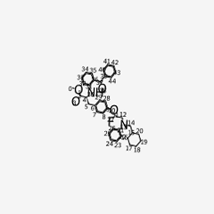 COC(=O)[C@H](Cc1ccc(OCCN(CC2CCCCC2)c2ccccc2F)cc1)Nc1ccccc1C(=O)c1ccccc1